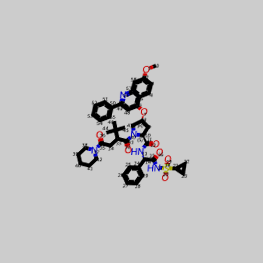 COc1ccc2c(O[C@@H]3C[C@@H](C(=O)N[C@H](C(=O)NS(=O)(=O)C4CC4)c4ccccc4)N(C(=O)C(CC(=O)N4CCCCC4)C(C)(C)C)C3)cc(-c3ccccc3)nc2c1